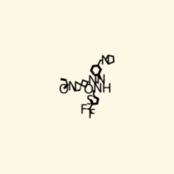 C=CC(=O)N1CC[C@]2(C1)C[C@H](n1c(NC(=O)c3ccc(C(F)F)s3)nc3cc(CN4CCCC4)ccc31)C2